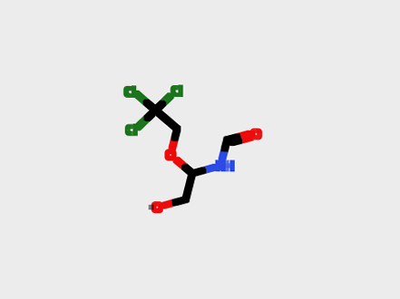 [O]CC(NC=O)OCC(Cl)(Cl)Cl